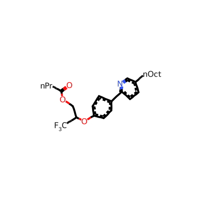 CCCCCCCCc1ccc(-c2ccc(OC(COC(=O)CCC)C(F)(F)F)cc2)nc1